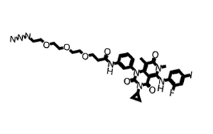 Cc1c(=O)n(C)c(Nc2ccc(I)cc2F)c2c(=O)n(C3CC3)c(=O)n(-c3cccc(NC(=O)CCOCCOCCOCCN=[N+]=[N-])c3)c12